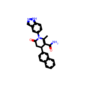 CC1=C(C(N)=O)C(c2ccc3ccccc3c2)CC(=O)N1c1ccc2[nH]ncc2c1